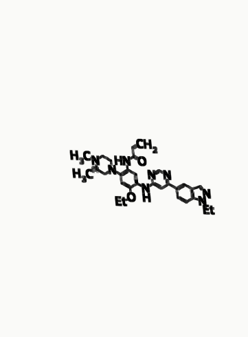 C=CC(=O)Nc1cc(Nc2cc(-c3ccc4c(cnn4CC)c3)ncn2)c(OCC)cc1N1CCN(C)[C@@H](C)C1